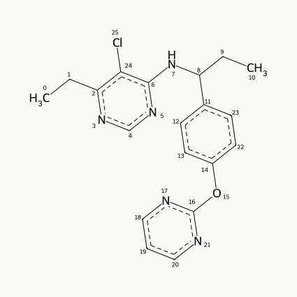 CCc1ncnc(NC(CC)c2ccc(Oc3ncccn3)cc2)c1Cl